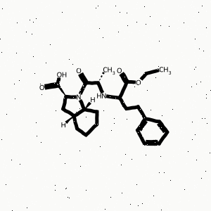 CCOC(=O)C(CCc1ccccc1)N[C@@H](C)C(=O)N1[C@@H]2CCCC[C@@H]2C[C@H]1C(=O)O